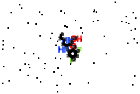 CCCCC(Nc1cc(F)cc(F)c1)C(=O)NO